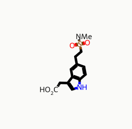 CNS(=O)(=O)CCc1ccc2[nH]cc(CC(=O)O)c2c1